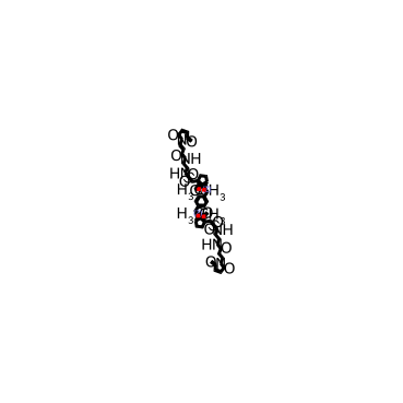 CC1(C)C2CCC1(CS(=O)(=O)NCCNC(=O)C=CN1C(=O)C=CC1=O)C(=O)/C2=C\c1ccc(/C=C2\C(=O)C3(CS(=O)(=O)NCCNC(=O)CCN4C(=O)C=CC4=O)CCC2C3(C)C)cc1